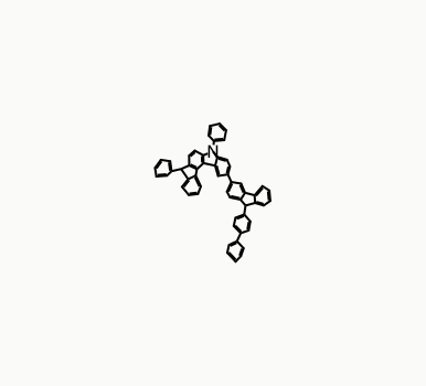 c1ccc(-c2ccc(C3c4ccccc4-c4cc(-c5ccc6c(c5)c5c7c(ccc5n6-c5ccccc5)C(c5ccccc5)c5ccccc5-7)ccc43)cc2)cc1